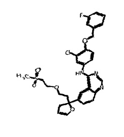 CS(=O)(=O)CCOCCC1(c2ccc3ncnc(Nc4ccc(OCc5cccc(F)c5)c(Cl)c4)c3c2)CC=CO1